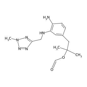 Cn1nnc(CNc2cc(CC(C)(C)OC=O)ccc2N)n1